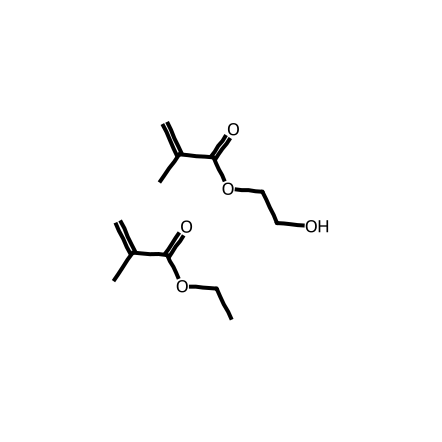 C=C(C)C(=O)OCC.C=C(C)C(=O)OCCO